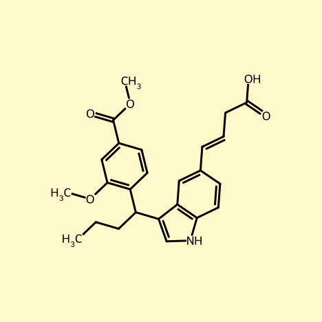 CCCC(c1ccc(C(=O)OC)cc1OC)c1c[nH]c2ccc(/C=C/CC(=O)O)cc12